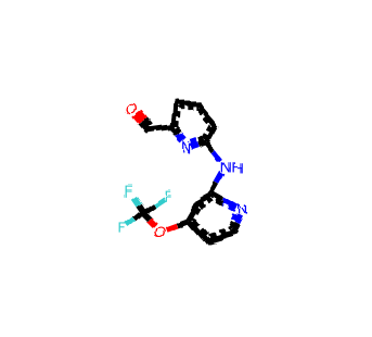 O=Cc1cccc(Nc2cc(OC(F)(F)F)ccn2)n1